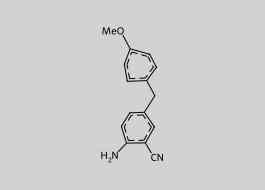 COc1ccc(Cc2ccc(N)c(C#N)c2)cc1